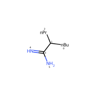 CCCCC(CCC)C(=N)N